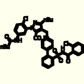 CCCCC(=O)Nc1ccc(Cl)c(-n2nc(CCCC)c(Cc3ccc(-c4ccccc4S(=O)(=O)NC(=O)c4ccccc4Cl)cc3)c2C(=O)OCC)c1